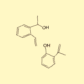 C=C(C)c1ccccc1O.C=Cc1ccccc1C(C)O